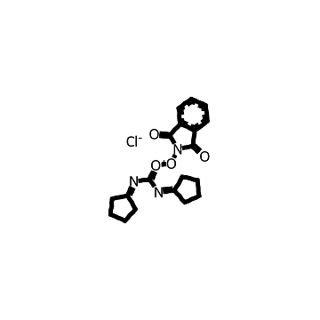 O=C1c2ccccc2C(=O)N1O[O+]=C(N=C1CCCC1)N=C1CCCC1.[Cl-]